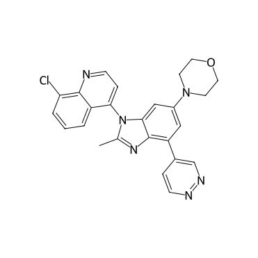 Cc1nc2c(-c3ccnnc3)cc(N3CCOCC3)cc2n1-c1ccnc2c(Cl)cccc12